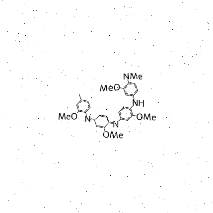 CNc1ccc(Nc2ccc(N=C3C=CC(=Nc4ccc(C)cc4OC)C=C3OC)cc2OC)cc1OC